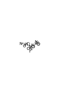 N#CCC(=O)N1CCCC(n2c(=O)n(CI)c3ccc(-c4cnn5ccccc45)nc32)C1